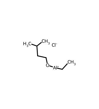 C[CH2][Al+][O]CCC(C)C.[Cl-]